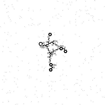 CCC(CCC(CCC(C)(CC(C)N1CCCCCC1=O)C(=O)OCCOC(=O)C(CCC(=O)OCCOc1ccc(C(=O)c2ccccc2)c(O)c1)(CCC(=O)OCCOc1ccc(C(=O)c2ccccc2)c(O)c1)C(C)=O)C(=O)OCCOc1ccccc1)C(=O)OCCO